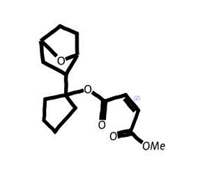 COC(=O)/C=C\C(=O)OC1(C2CC3CCC2O3)CCCC1